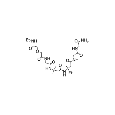 CCNC(=O)COCC(=O)NCC(=O)NC(C)(C)CC(=O)NC(C)(CC)CC(=O)NCC(=O)NCC(N)=O